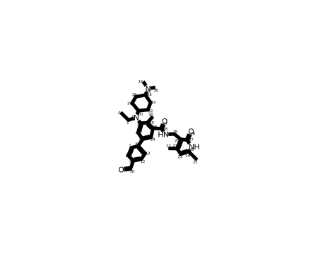 CCN(c1cc(-c2ccc(C=O)cc2)cc(C(=O)NCc2c(C)cc(C)[nH]c2=O)c1C)C1CCC(N(C)C)CC1